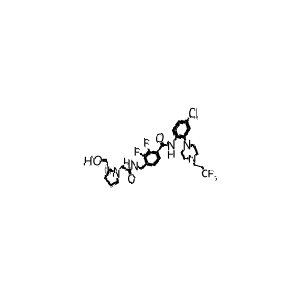 O=C(CN1CCC[C@H]1CO)NCc1ccc(C(=O)Nc2ccc(Cl)cc2N2CCN(CCC(F)(F)F)CC2)c(F)c1F